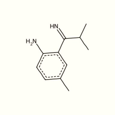 Cc1ccc(N)c(C(=N)C(C)C)c1